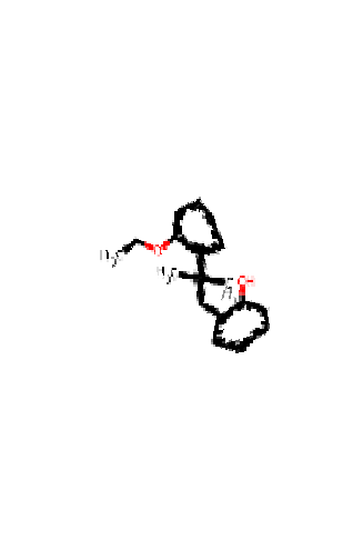 CCOc1ccccc1C(C)(C)Cc1ccccc1O